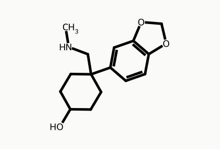 CNCC1(c2ccc3c(c2)OCO3)CCC(O)CC1